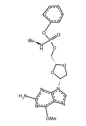 CC[C@H](C)NP(=O)(OC[C@@H]1OC[C@H](n2cnc3c(OC)nc(N)nc32)O1)Oc1ccccc1